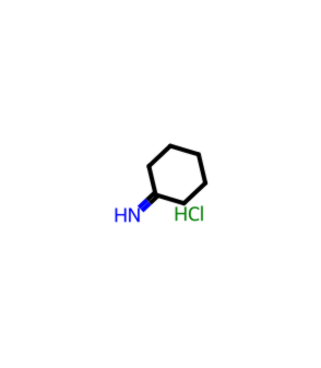 Cl.N=C1CCCCC1